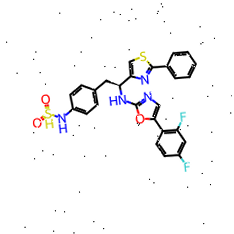 O=[SH](=O)Nc1ccc(C[C@H](Nc2ncc(-c3ccc(F)cc3F)o2)c2csc(-c3ccccc3)n2)cc1